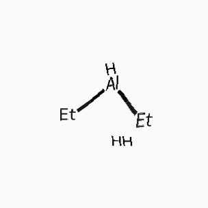 C[CH2][AlH][CH2]C.[HH]